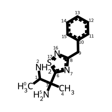 CC(N)C(C)(N)c1nc(Cc2ccccc2)ns1